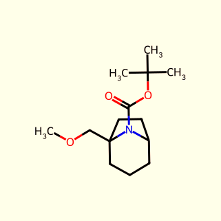 COCC12CCCC(CC1)N2C(=O)OC(C)(C)C